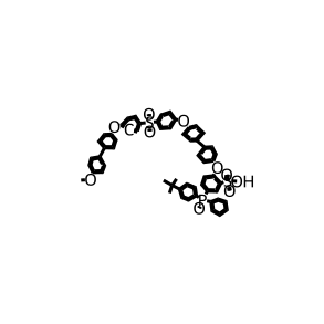 COc1ccc(-c2ccc(Oc3ccc(S(=O)(=O)c4ccc(Oc5ccc(-c6ccc(Oc7ccc(P(=O)(c8ccccc8)c8ccc(C(C)(C)C)cc8)cc7S(=O)(=O)O)cc6)cc5)cc4)cc3)cc2)cc1